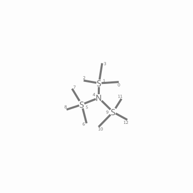 CS(C)(C)N(S(C)(C)C)S(C)(C)C